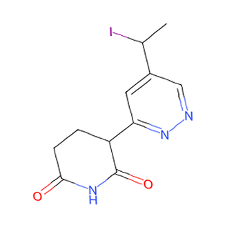 CC(I)c1cnnc(C2CCC(=O)NC2=O)c1